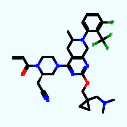 C=CC(=O)N1CCN(c2nc(OCC3(CN(C)C)CC3)nc3c2CC(C)N(c2cccc(F)c2C(F)(F)F)C3)C[C@@H]1CC#N